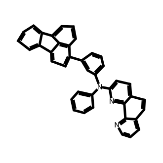 c1ccc(N(c2cccc(-c3ccc4c5c(cccc35)-c3ccccc3-4)c2)c2ccc3ccc4cccnc4c3n2)cc1